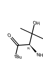 CC(C)(C)C(=O)[C@H](N)C(C)(C)O